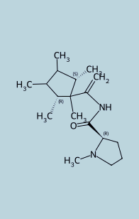 C=C(NC(=O)[C@H]1CCCN1C)C1(C)[C@H](C)C(C)C(C)[C@@H]1C